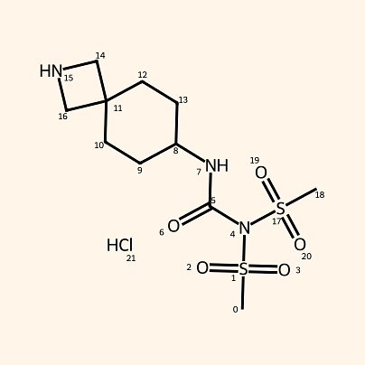 CS(=O)(=O)N(C(=O)NC1CCC2(CC1)CNC2)S(C)(=O)=O.Cl